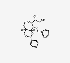 OC[C@H](O)[C@H]1OCO[C@H]2COC(c3ccccc3)O[C@H]2[C@@H]1OCc1ccccc1